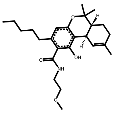 CCCCCc1cc2c(c(O)c1C(=O)NCCOC)[C@@H]1C=C(C)CC[C@H]1C(C)(C)O2